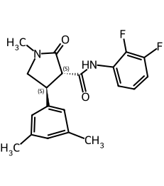 Cc1cc(C)cc([C@H]2CN(C)C(=O)[C@@H]2C(=O)Nc2cccc(F)c2F)c1